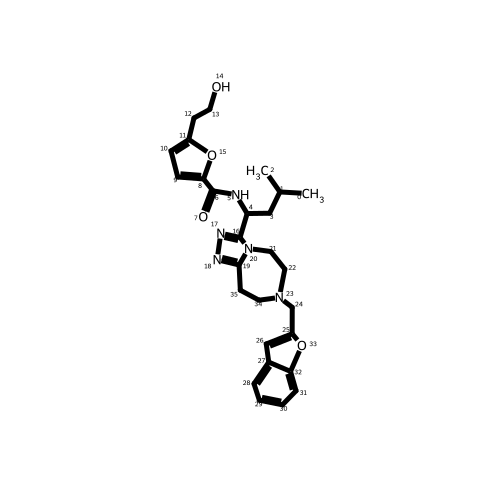 CC(C)CC(NC(=O)c1ccc(CCO)o1)c1nnc2n1CCN(Cc1cc3ccccc3o1)CC2